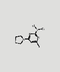 CCN(CC)c1nc(C)cc(N2CCCC2)n1